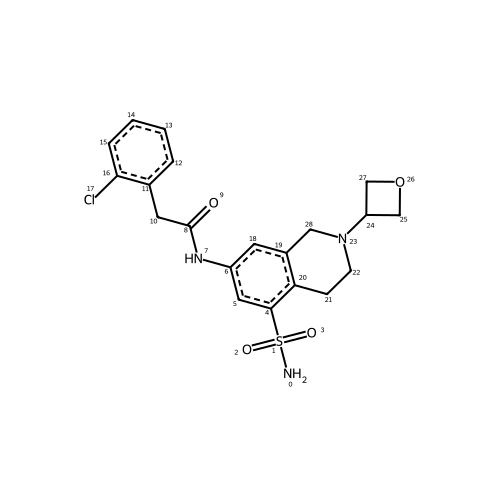 NS(=O)(=O)c1cc(NC(=O)Cc2ccccc2Cl)cc2c1CCN(C1COC1)C2